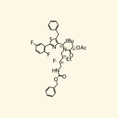 CC[C@@H](CN(C(=O)[C@H](C)OC(C)=O)[C@@H](c1nc(-c2cc(F)ccc2F)sc1Cc1ccccc1)C(C)(C)C)[C@@H](F)CNC(=O)OCc1ccccc1